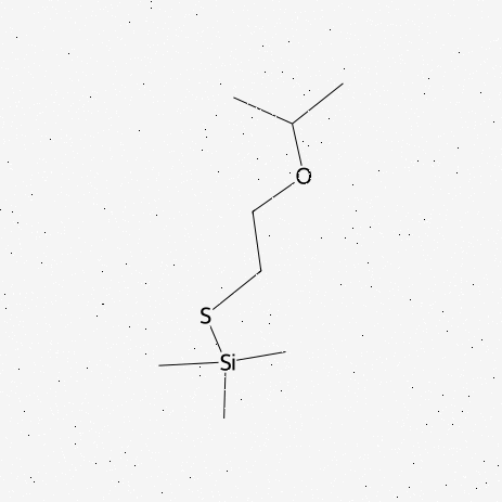 CC(C)OCCS[Si](C)(C)C